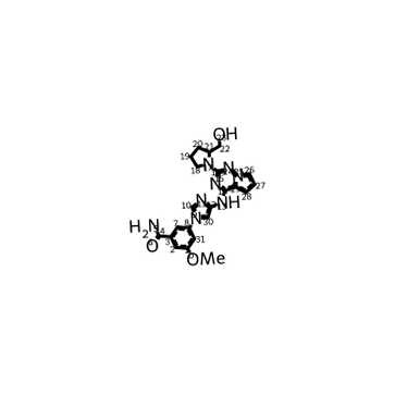 COc1cc(C(N)=O)cc(-n2cnc(Nc3nc(N4CCCC4CO)nn4cccc34)c2)c1